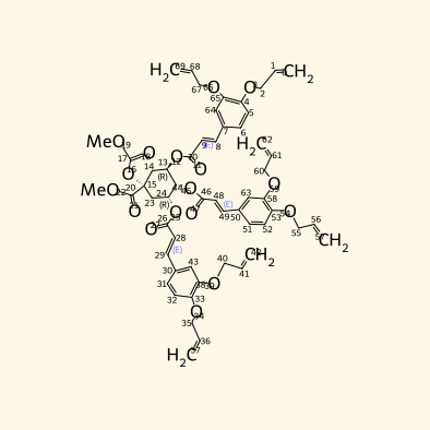 C=CCOc1ccc(/C=C/C(=O)O[C@@H]2C[C@](OC(=O)OC)(C(=O)OC)C[C@@H](OC(=O)/C=C/c3ccc(OCC=C)c(OCC=C)c3)[C@H]2OC(=O)/C=C/c2ccc(OCC=C)c(OCC=C)c2)cc1OCC=C